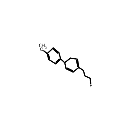 COc1ccc(C2C=CC(CCCF)=CC2)cc1